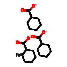 O=C([O-])C1CCCCC1.O=C([O-])C1CCCCC1.O=C([O-])C1CCCCC1.[Fe+3]